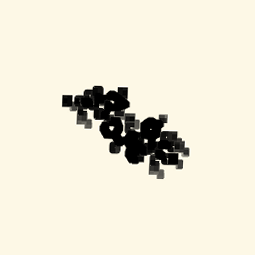 Cc1c(C(=O)C2CCN(C(=O)[C@@H]3[C@H]4C[C@H]4CN3C(=O)OC(C)(C)C)CC2)c2ccncc2n1-c1ccc(F)cc1C(=O)N(C(C)C)C(C)C